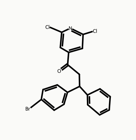 O=C(CC(c1ccccc1)c1ccc(Br)cc1)c1cc(Cl)nc(Cl)c1